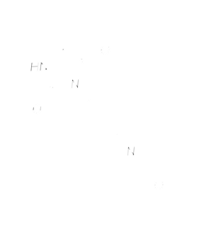 CC1(C)NC(=O)N(c2ccc(N3CCOCC3)cc2)C1=O